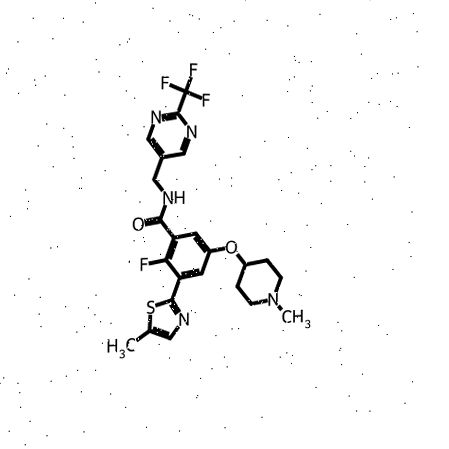 Cc1cnc(-c2cc(OC3CCN(C)CC3)cc(C(=O)NCc3cnc(C(F)(F)F)nc3)c2F)s1